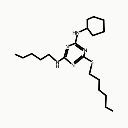 CCCCCCSc1nc(NCCCCC)nc(NC2CCCCC2)n1